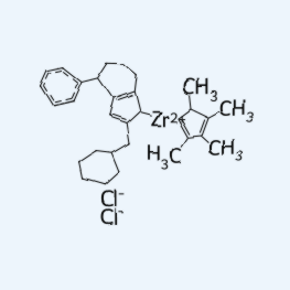 CC1=C(C)C(C)[C]([Zr+2][CH]2C(CC3CCCCC3)=CC3=C2CCCC3c2ccccc2)=C1C.[Cl-].[Cl-]